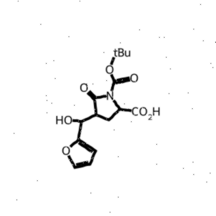 CC(C)(C)OC(=O)N1C(=O)C(C(O)c2ccco2)CC1C(=O)O